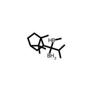 BC(BC)(C(C)C)C1CC2CCC1(C)C2(C)C